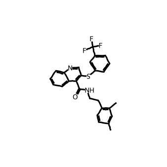 Cc1ccc(CCNC(=O)c2c(Sc3cccc(C(F)(F)F)c3)cnc3ccccc23)c(C)c1